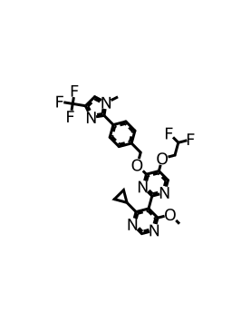 COc1ncnc(C2CC2)c1-c1ncc(OCC(F)F)c(OCc2ccc(-c3nc(C(F)(F)F)cn3C)cc2)n1